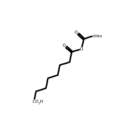 CCCCCCC(=O)OC(=O)CCCCCCC(=O)O